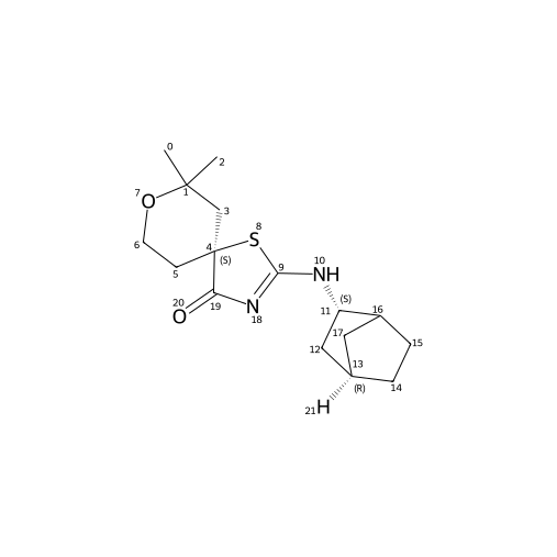 CC1(C)C[C@]2(CCO1)SC(N[C@H]1C[C@@H]3CCC1C3)=NC2=O